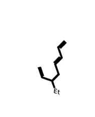 C=CC=CCC(C=C)CC